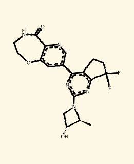 C[C@H]1[C@H](O)CN1c1nc(-c2cnc3c(c2)OCCNC3=O)c2c(n1)C(F)(F)CC2